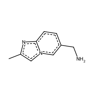 Cc1cn2cc(CN)ccc2n1